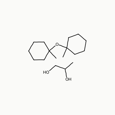 CC(O)CO.CC1(OC2(C)CCCCC2)CCCCC1